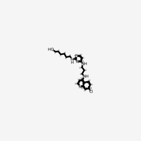 OCCCCCCNc1nccc(NCCCNc2ccnc3cc(Cl)ccc23)n1